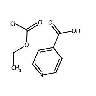 CCOC(=O)Cl.O=C(O)c1ccncc1